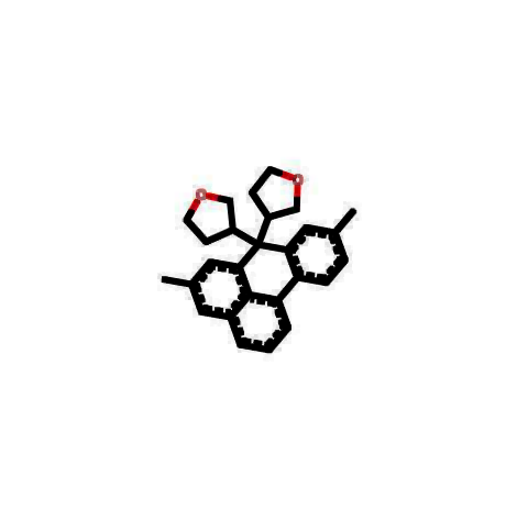 Cc1ccc2c(c1)C(C1CCOC1)(C1CCOC1)c1cc(C)cc3cccc-2c13